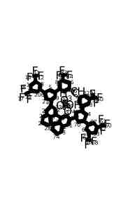 Cc1cc(-c2cc(-c3cc(C(F)(F)F)cc(C(F)(F)F)c3)cc(-c3cc4ccccc4c4c3OP(=O)(O)Oc3c(-c5cc(-c6cc(C)cc(C(F)(F)F)c6)cc(-c6cc(C(F)(F)F)cc(C(F)(F)F)c6)c5)cc5ccccc5c3-4)c2)cc(C(F)(F)F)c1